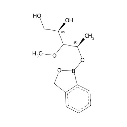 COC([C@H](O)CO)[C@@H](C)OB1OCc2ccccc21